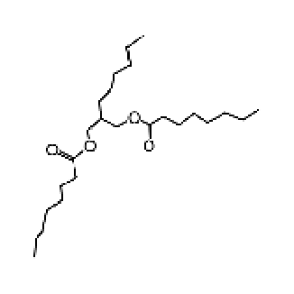 CCCCCCCC(=O)OCC(CCCCCC)COC(=O)CCCCCCC